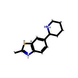 Cc1nc2ccc(C3CCCCN3)cc2s1